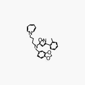 Cc1ccccc1-c1cc(N(CCCN2C=CC=CC=C2)Cc2ccc3c(c2)OCO3)on1